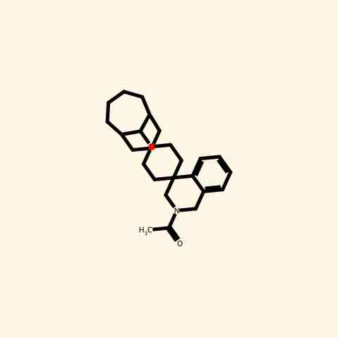 CC(=O)N1Cc2ccccc2C2(CCN(C3C4CCCCC3CCC4)CC2)C1